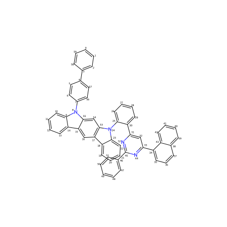 c1ccc(-c2ccc(-n3c4ccccc4c4cc5c6ccccc6n(-c6ccccc6-c6cc(-c7cccc8ccccc78)nc(-c7ccccc7)n6)c5cc43)cc2)cc1